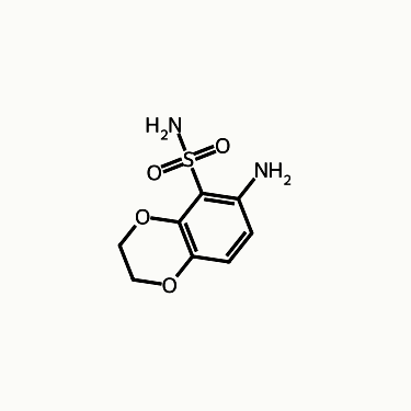 Nc1ccc2c(c1S(N)(=O)=O)OCCO2